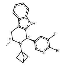 C[C@@H]1Cc2c([nH]c3ccccc23)[C@@H](c2cnc(Br)c(F)c2)N1C12CC(C1)C2